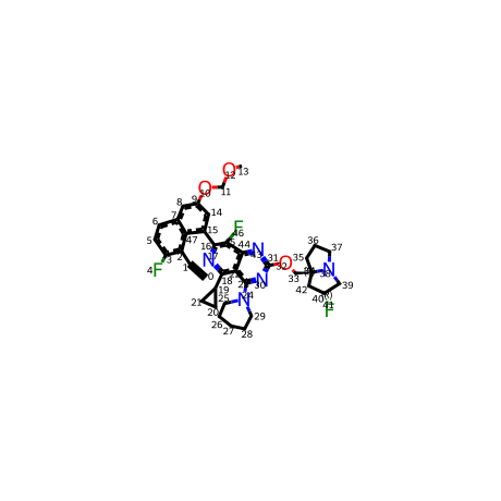 C#Cc1c(F)ccc2cc(OCOC)cc(-c3nc(C4CC4)c4c(N5CCCCC5)nc(OC[C@@]56CCCN5C[C@H](F)C6)nc4c3F)c12